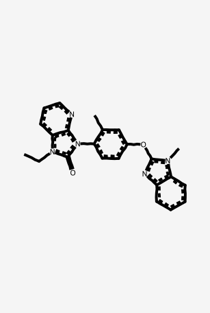 CCn1c(=O)n(-c2ccc(Oc3nc4ccccc4n3C)cc2C)c2ncccc21